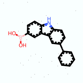 OB(O)c1ccc2[nH]c3ccc(-c4ccccc4)cc3c2c1